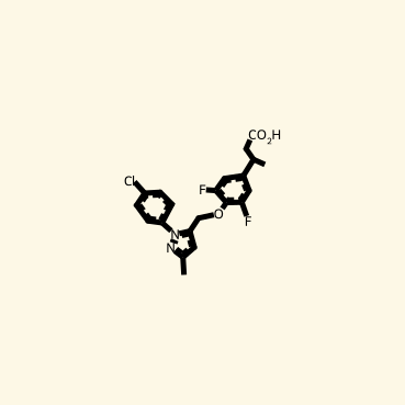 Cc1cc(COc2c(F)cc(C(C)CC(=O)O)cc2F)n(-c2ccc(Cl)cc2)n1